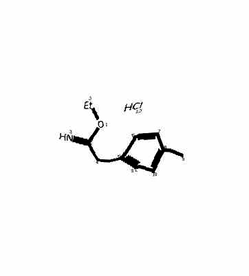 CCOC(=N)Cc1ccc(C)cc1.Cl